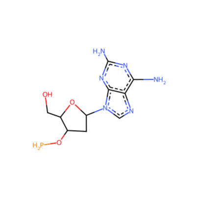 Nc1nc(N)c2ncn(C3CC(OP)C(CO)O3)c2n1